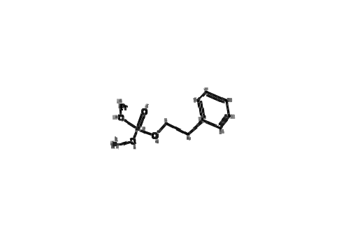 CC(C)OP(=O)(OCCc1ccccc1)OC(C)C